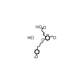 COc1ccc(CCCCOc2ccc(CCl)nc2C=CCC(=O)O)cc1.Cl